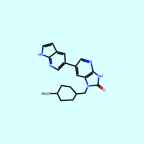 COC1CCC(Cn2c(=O)[nH]c3ncc(-c4cnc5[nH]ccc5c4)cc32)CC1